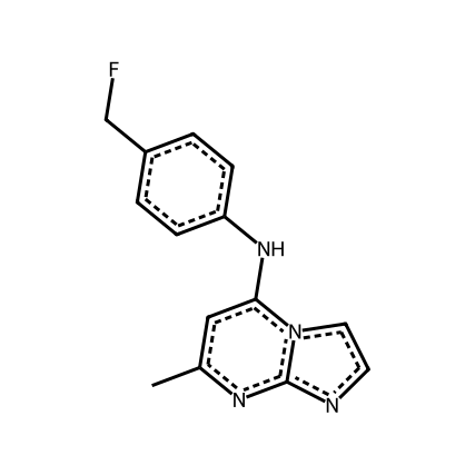 Cc1cc(Nc2ccc(CF)cc2)n2ccnc2n1